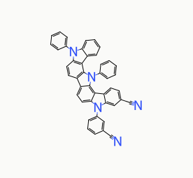 N#Cc1cccc(-n2c3cc(C#N)ccc3c3c2ccc2c4ccc5c(c6ccccc6n5-c5ccccc5)c4n(-c4ccccc4)c23)c1